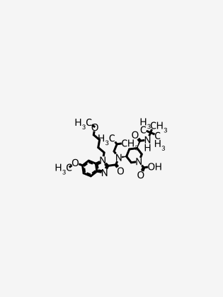 COCCCCn1c(C(=O)N(CC(C)C)[C@H]2C[C@@H](C(=O)NC(C)(C)C)CN(C(=O)O)C2)nc2ccc(OC)cc21